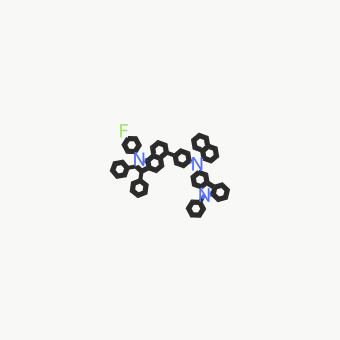 Fc1ccc(-n2c(-c3ccccc3)c(-c3ccccc3)c3ccc4c(-c5ccc(N(c6ccc7c(c6)c6ccccc6n7-c6ccccc6)c6cccc7ccccc67)cc5)cccc4c32)cc1